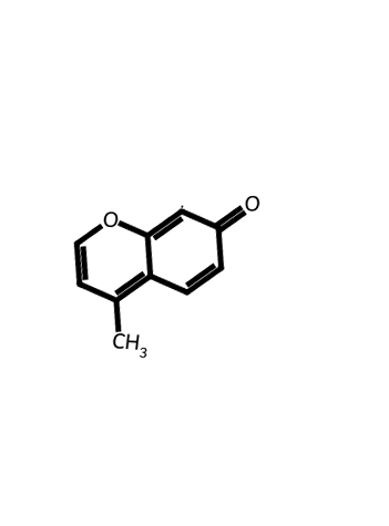 Cc1ccoc2[c]c(=O)ccc1-2